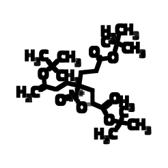 C=C(CCC(CCC(=O)OC(C)(C)C)(CCC(=O)OC(C)(C)C)[N+](=O)[O-])OC(C)(C)C